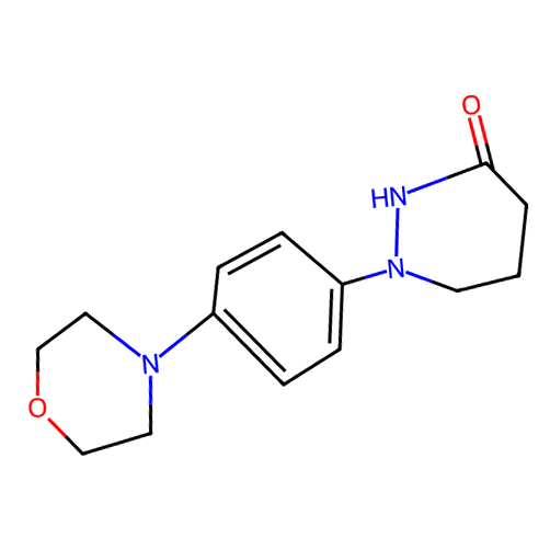 O=C1CCCN(c2ccc(N3CCOCC3)cc2)N1